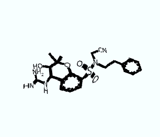 CC1(C)Oc2c(cccc2S(=O)(=O)N(CC#N)CCc2ccccc2)C(NC(=N)N)C1O